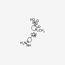 CCN1C(=O)N(OS(=O)(=O)O)CCC[C@H]1c1nnc(C2CCN(C(=N)N)CC2)o1